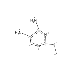 CSc1ncc(N)c(N)n1